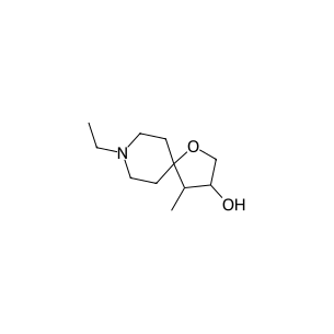 CCN1CCC2(CC1)OCC(O)C2C